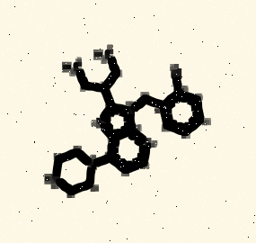 CCC(CC)c1nc2c(N3CCNCC3)ccnc2n1Cc1ccccc1Cl